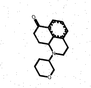 O=C1CCC2c3c(cccc31)CCN2C1CCCOC1